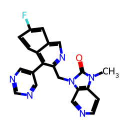 Cn1c(=O)n(Cc2ncc3cc(F)ccc3c2-c2cncnc2)c2cnccc21